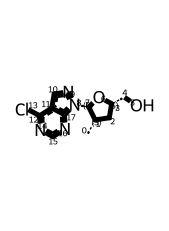 C[C@H]1C[C@@H](CO)O[C@H]1n1ncc2c(Cl)ncnc21